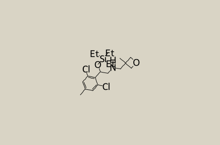 CC[Si](CC)(CC)OC(CNCC1(C)COC1)c1c(Cl)cc(C)cc1Cl